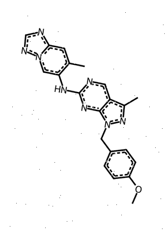 COc1ccc(Cn2nc(C)c3cnc(Nc4cn5ncnc5cc4C)nc32)cc1